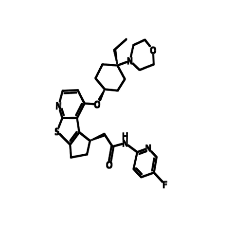 CC[C@]1(N2CCOCC2)CC[C@H](Oc2ccnc3sc4c(c23)[C@@H](CC(=O)Nc2ccc(F)cn2)CC4)CC1